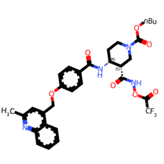 CCCCOC(=O)N1CC[C@@H](NC(=O)c2ccc(OCc3cc(C)nc4ccccc34)cc2)[C@@H](C(=O)NOC(=O)C(F)(F)F)C1